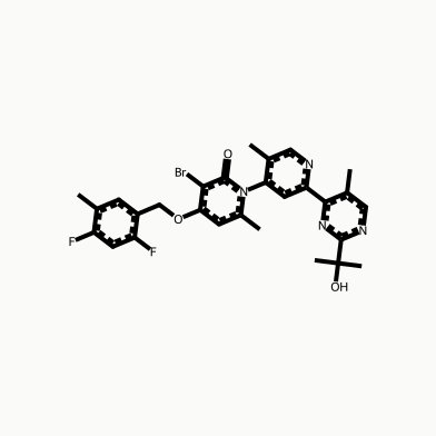 Cc1cc(COc2cc(C)n(-c3cc(-c4nc(C(C)(C)O)ncc4C)ncc3C)c(=O)c2Br)c(F)cc1F